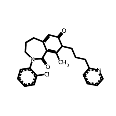 CC1=C2C(=O)N(c3ccccc3Cl)CCCC2=CC(=O)C1CCCc1ccccn1